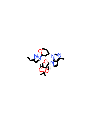 CCc1cc([C@@H]2O[C@@H](n3ccc4c(C)ncnc43)[C@@H]3OC(C)(C)O[C@@H]32)n(C2CCCCO2)n1